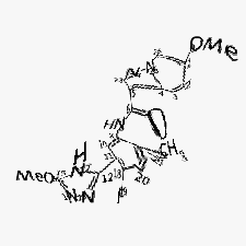 COc1ccc2c(C(=O)Nc3cc(-c4nnc(OC)[nH]4)c(F)cc3C)cnn2c1